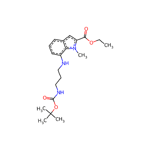 CCOC(=O)c1cc2cccc(NCCCNC(=O)OC(C)(C)C)c2n1C